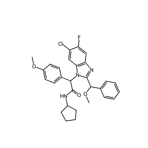 COc1ccc(C(C(=O)NC2CCCC2)n2c(C(OC)c3ccccc3)nc3cc(F)c(Cl)cc32)cc1